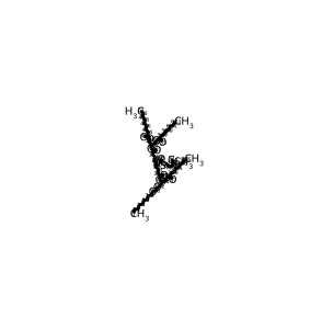 CCCCCCCCCOCOCC(COC(=O)CCCCCCCC)OC(=O)CCCN(CCCC(=O)OC(COC(=O)CCCCCCCC)COC(=O)CCCCCCCC)C(=O)SCCCN(C)C